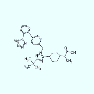 CC(C(=O)O)C1CCC(c2nc(C(C)(C)C)nn2Cc2ccc(-c3ccccc3-c3nnn[nH]3)cc2)CC1